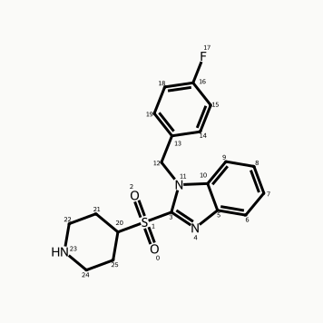 O=S(=O)(c1nc2ccccc2n1Cc1ccc(F)cc1)C1CCNCC1